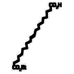 CCOC(=O)CCCCCCCCC=CCCCCCCCCC(=O)O